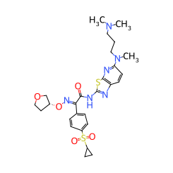 CN(C)CCCN(C)c1ccc2nc(NC(=O)/C(=N/O[C@@H]3CCOC3)c3ccc(S(=O)(=O)C4CC4)cc3)sc2n1